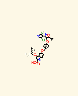 CC(C)COc1cc(C(=O)O)nc2ccc(OCC34CCC(OCc5c(-c6c(Cl)cncc6Cl)noc5C5CC5)(CC3)CC4)cc12